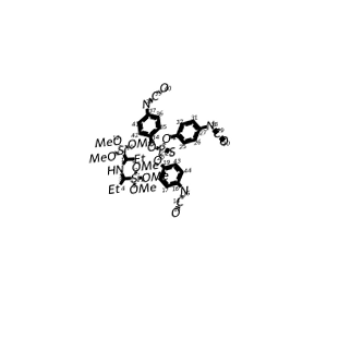 CCC(NC(CC)[Si](OC)(OC)OC)[Si](OC)(OC)OC.O=C=Nc1ccc(OP(=S)(Oc2ccc(N=C=O)cc2)Oc2ccc(N=C=O)cc2)cc1